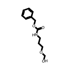 O=C(NCCCOCO)OCc1ccccc1